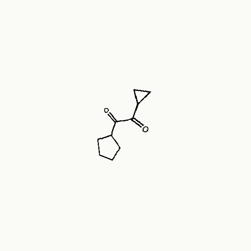 O=C(C(=O)C1CC1)C1CCCC1